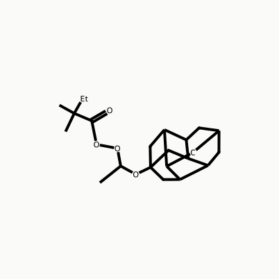 CCC(C)(C)C(=O)OOC(C)OC12CC3C4CC5CC3C(C1)C(C5)C4C2